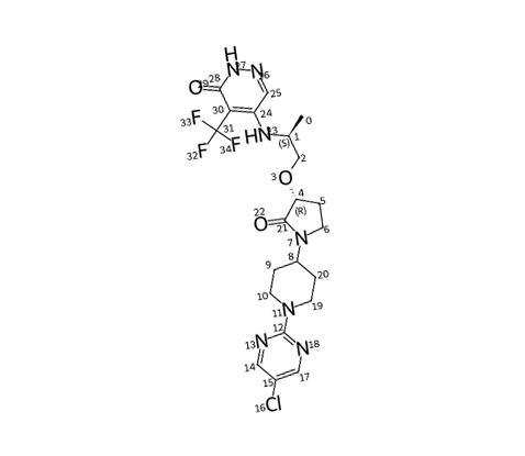 C[C@@H](CO[C@@H]1CCN(C2CCN(c3ncc(Cl)cn3)CC2)C1=O)Nc1cn[nH]c(=O)c1C(F)(F)F